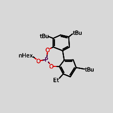 CCCCCCOp1oc2c(CC)cc(C(C)(C)C)cc2c2cc(C(C)(C)C)cc(C(C)(C)C)c2o1